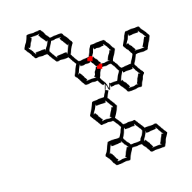 c1ccc(-c2cccc(N(c3ccc(-c4ccc5ccccc5c4)cc3)c3cccc(-c4cc5ccccc5c5ccccc45)c3)c2-c2ccccc2)cc1